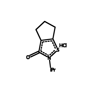 CC(C)n1sc2c(c1=O)CCC2.Cl